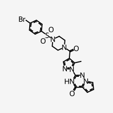 Cc1c(C(=O)N2CCN(S(=O)(=O)c3ccc(Br)cc3)CC2)cnn1-c1nn2cccc2c(=O)[nH]1